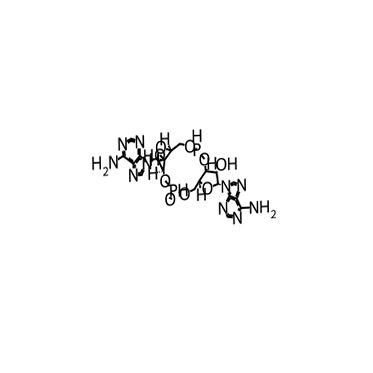 Nc1ncnc2c1ncn2[C@@H]1O[C@@H]2CO[PH](=O)O[C@@H]3[C@H](O)[C@@H](COPO[C@H]2[C@H]1O)O[C@H]3n1cnc2c(N)ncnc21